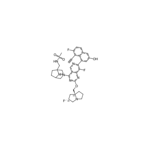 C#Cc1c(F)ccc2cc(O)cc(-c3ncc4c(N5CC6CCC(CNS(C)(=O)=O)(C5)N6)nc(OC[C@@]56CCCN5C[C@H](F)C6)nc4c3F)c12